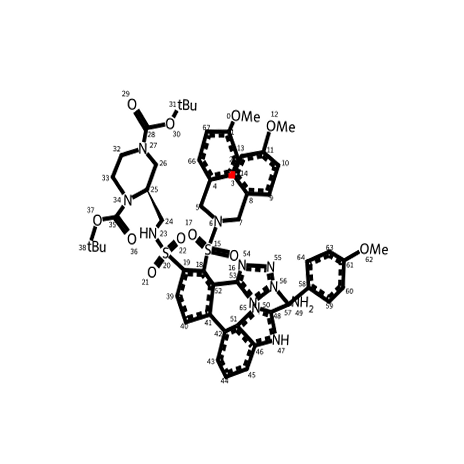 COc1ccc(CN(Cc2ccc(OC)cc2)S(=O)(=O)c2c(S(=O)(=O)NC[C@@H]3CN(C(=O)OC(C)(C)C)CCN3C(=O)OC(C)(C)C)ccc(-c3cccc4[nH]c(N)nc34)c2-c2nnn(Cc3ccc(OC)cc3)n2)cc1